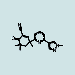 Cn1cc(-c2cccc(C3(C)C=C(C#N)C(=O)C(C)(C)C3)n2)cn1